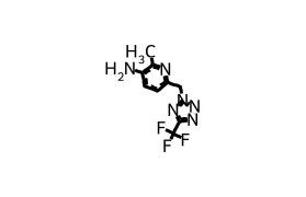 Cc1nc(Cn2nnc(C(F)(F)F)n2)ccc1N